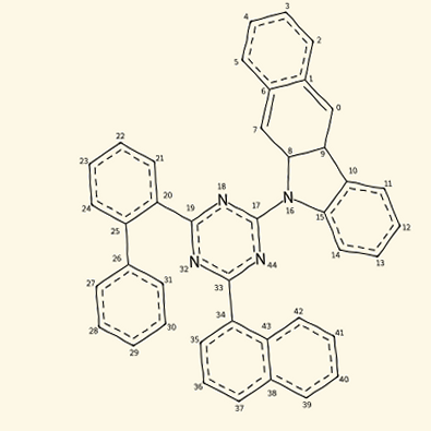 C1=c2ccccc2=CC2C1c1ccccc1N2c1nc(-c2ccccc2-c2ccccc2)nc(-c2cccc3ccccc23)n1